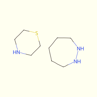 C1CCNNCC1.C1CSCCN1